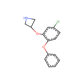 Clc1ccc(Oc2ccccc2)c(OC2CNC2)c1